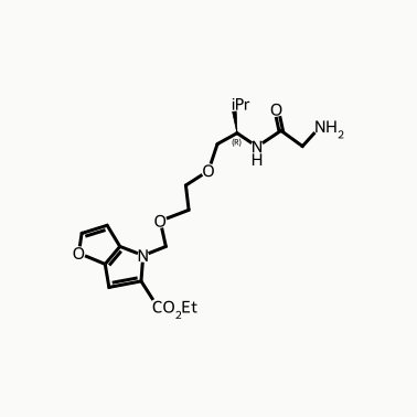 CCOC(=O)c1cc2occc2n1COCCOC[C@H](NC(=O)CN)C(C)C